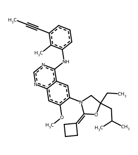 CC#Cc1cccc(Nc2ncnc3cc(OC)c(N4CC(CC)(CC(C)C)OC4=C4CCC4)cc23)c1C